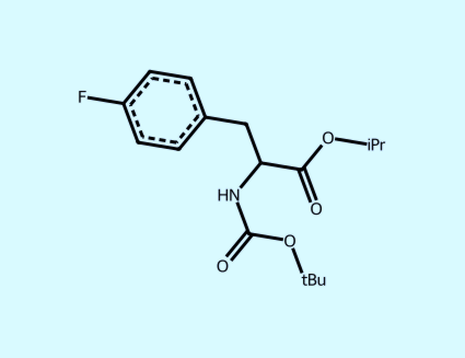 CC(C)OC(=O)C(Cc1ccc(F)cc1)NC(=O)OC(C)(C)C